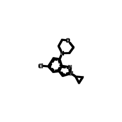 Clc1cc(N2CCOCC2)c2nn(C3CC3)cc2c1